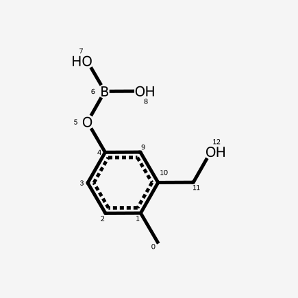 Cc1ccc(OB(O)O)cc1CO